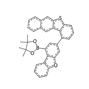 CC1(C)OB(c2cc(-c3cccc4sc5cc6ccccc6cc5c34)cc3oc4ccccc4c23)OC1(C)C